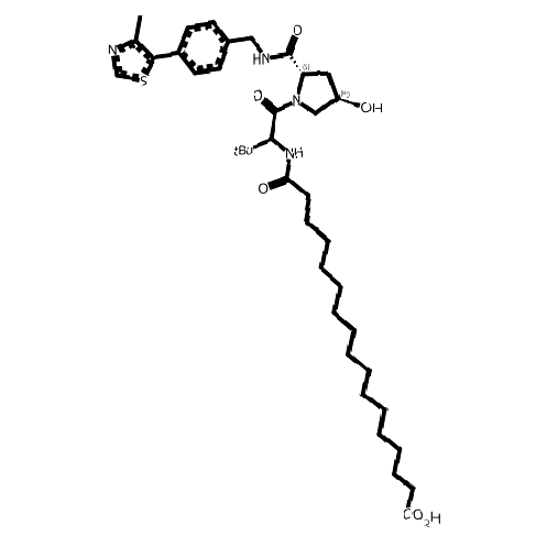 Cc1ncsc1-c1ccc(CNC(=O)[C@@H]2C[C@@H](O)CN2C(=O)C(NC(=O)CCCCCCCCCCCCCCCC(=O)O)C(C)(C)C)cc1